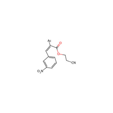 CC(=O)C(=Cc1cccc([N+](=O)[O-])c1)C(=O)OCCC#N